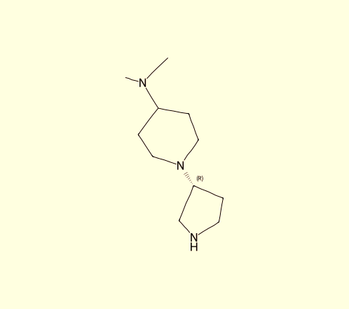 CN(C)C1CCN([C@@H]2CCNC2)CC1